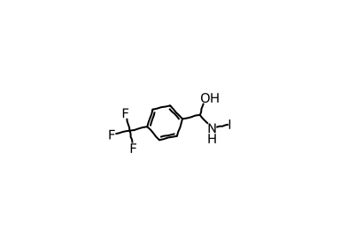 OC(NI)c1ccc(C(F)(F)F)cc1